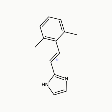 Cc1cccc(C)c1/C=C/c1ncc[nH]1